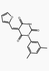 Cc1cc(C)cc(N2C(=O)NC(=O)/C(=C\c3ccco3)C2=O)c1